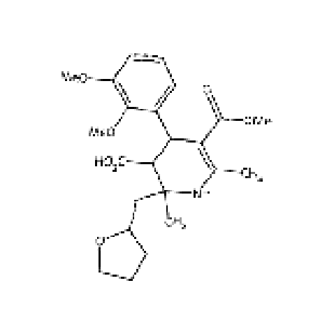 COC(=O)C1=C(C)NC(C)(CC2CCCO2)C(C(=O)O)C1c1cccc(OC)c1OC